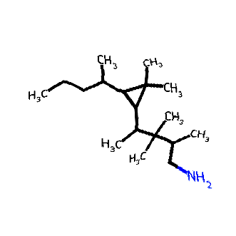 CCCC(C)C1C(C(C)C(C)(C)C(C)CN)C1(C)C